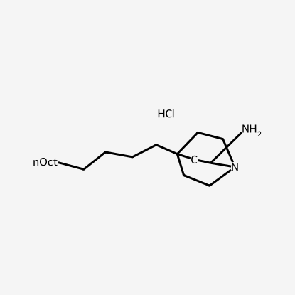 CCCCCCCCCCCCC12CCN(CC1)C(N)C2.Cl